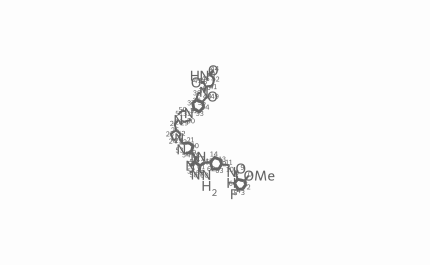 COc1ccc(F)cc1C(=O)NCc1ccc(-c2nn(-c3ccc(N4CCC(CN5CCN(c6ccc7c(c6)CN(C6CCC(=O)NC6=O)C7=O)CC5)C4)nc3)c3ncnc(N)c23)cc1